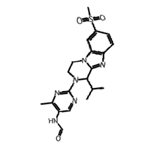 Cc1nc(N2CCn3c(nc4ccc(S(C)(=O)=O)cc43)C2C(C)C)ncc1NC=O